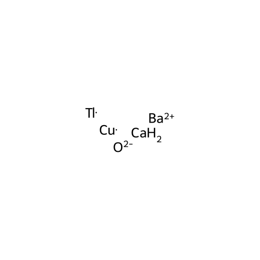 [Ba+2].[CaH2].[Cu].[O-2].[Tl]